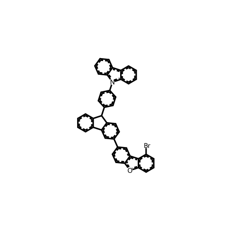 Brc1cccc2oc3ccc(-c4ccc5c(c4)-c4ccccc4C5c4ccc(-n5c6ccccc6c6ccccc65)cc4)cc3c12